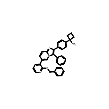 NC1(c2ccc(-c3nc4ccc(-c5cccnc5OCc5ccccc5)cn4c3-c3ccccc3)cc2)CCC1